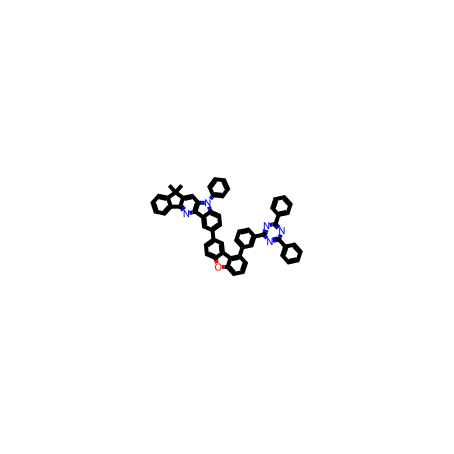 CC1(C)c2ccccc2-c2nc3c4cc(-c5ccc6oc7cccc(-c8cccc(-c9nc(-c%10ccccc%10)nc(-c%10ccccc%10)n9)c8)c7c6c5)ccc4n(-c4ccccc4)c3cc21